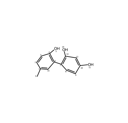 Cc1ccc(O)c(-c2ccc(O)cc2O)c1